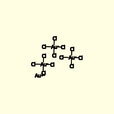 [Au+3].[Cl][Au-]([Cl])([Cl])[Cl].[Cl][Au-]([Cl])([Cl])[Cl].[Cl][Au-]([Cl])([Cl])[Cl]